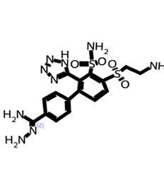 NCCS(=O)(=O)c1ccc(-c2ccc(/C(N)=N/N)cc2)c(-c2nnn[nH]2)c1S(N)(=O)=O